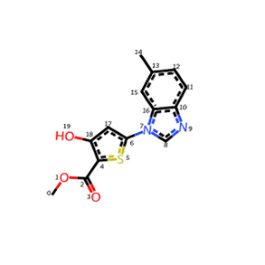 COC(=O)c1sc(-n2cnc3ccc(C)cc32)cc1O